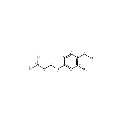 CCN(CC)CCOc1cnc(CO)c(F)c1